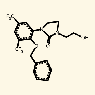 O=C1N(CCO)CCN1c1cc(C(F)(F)F)cc(C(F)(F)F)c1OCc1ccccc1